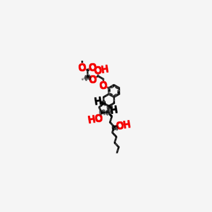 CCCCC[C@H](O)CC[C@@H]1[C@H]2Cc3cccc(OCC(O)O[C@H](C)C(=O)OC)c3C[C@H]2C[C@H]1O